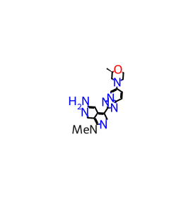 CNc1ncc(-c2nc3ccc(N4CCO[C@H](C)C4)cn3n2)c2cc(N)ncc12